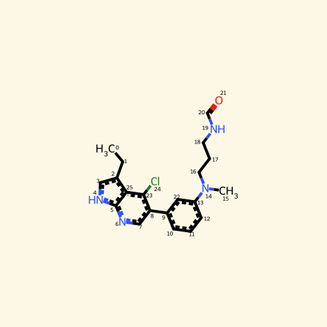 CCc1c[nH]c2ncc(-c3cccc(N(C)CCCNC=O)c3)c(Cl)c12